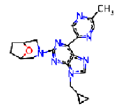 Cc1cnc(-c2nc(N3CC4CCC(C3)O4)nc3c2ncn3CC2CC2)cn1